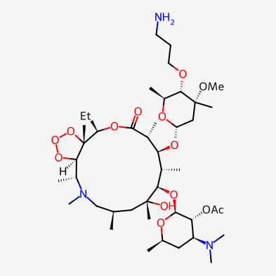 CC[C@H]1OC(=O)[C@H](C)[C@@H](O[C@H]2C[C@@](C)(OC)[C@@H](OCCCN)[C@H](C)O2)[C@H](C)[C@@H](O[C@@H]2O[C@H](C)C[C@H](N(C)C)[C@H]2OC(C)=O)[C@](C)(O)C[C@@H](C)CN(C)[C@H](C)[C@H]2OOO[C@@]21C